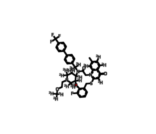 [2H]c1c(C)c([2H])c2c(c1[2H])c(=O)c([2H])c(SCc1cccc(F)c1F)n2CC(=O)N(C([2H])([2H])c1ccc(-c2ccc(C(F)(F)F)cc2)cc1)C1([2H])C([2H])([2H])C([2H])([2H])N(CCOC([2H])([2H])[2H])C([2H])([2H])C1([2H])[2H]